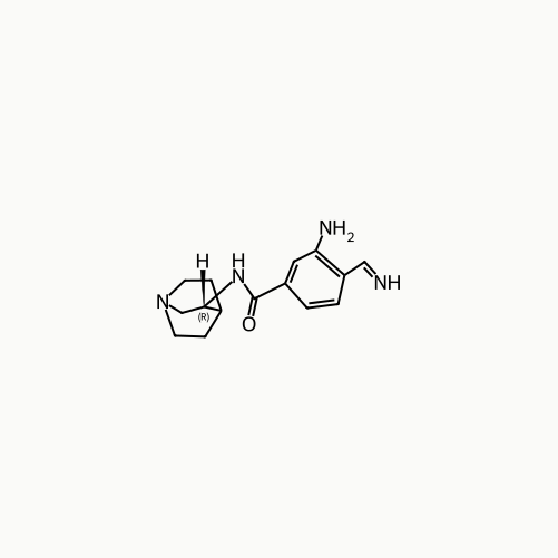 N=Cc1ccc(C(=O)N[C@H]2CN3CCC2CC3)cc1N